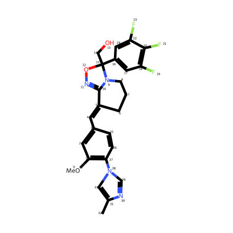 COc1cc(C=C2CCCN3C2=NOC3(CO)c2cc(F)c(F)c(F)c2)ccc1-n1cnc(C)c1